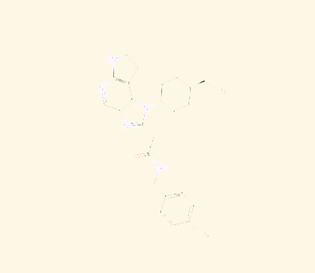 N#CC[C@H]1CC[C@H](n2c(CC(=O)NCc3ccc(C#N)cc3)nc3cnc4[nH]ccc4c32)CC1